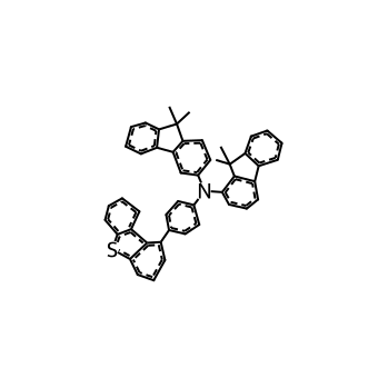 CC1(C)c2ccccc2-c2cc(N(c3ccc(-c4cccc5sc6ccccc6c45)cc3)c3cccc4c3C(C)(C)c3ccccc3-4)ccc21